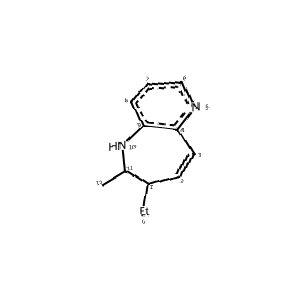 CCC1C=Cc2ncccc2NC1C